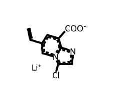 C=Cc1cc(C(=O)[O-])c2ncc(Cl)n2c1.[Li+]